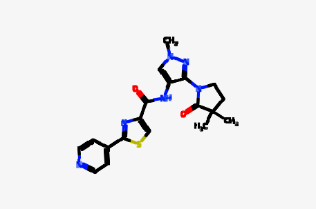 Cn1cc(NC(=O)c2csc(-c3ccncc3)n2)c(N2CCC(C)(C)C2=O)n1